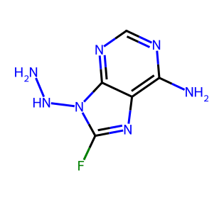 NNn1c(F)nc2c(N)ncnc21